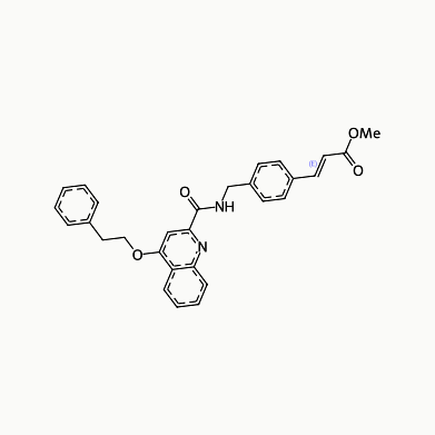 COC(=O)/C=C/c1ccc(CNC(=O)c2cc(OCCc3ccccc3)c3ccccc3n2)cc1